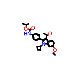 CCOC1C=c2c(c(C(C)=O)c(-c3ccc(NC(=O)OC(C)C)cc3)n2C2CCC2)=CC1